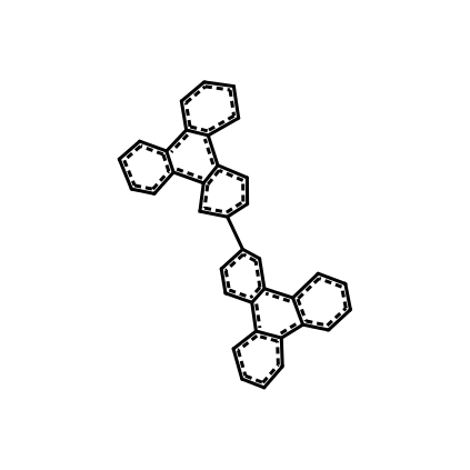 c1ccc2c(c1)c1ccccc1c1cc(-c3ccc4c5ccccc5c5ccccc5c4c3)ccc21